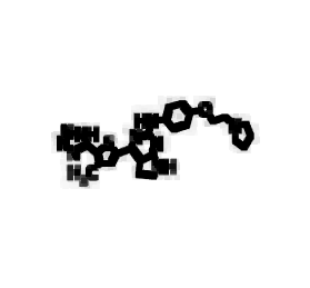 Cc1cc(-c2nc(Nc3ccc(OCCN4CCCC4)cc3)nc3[nH]ccc23)sc1-c1nnn[nH]1